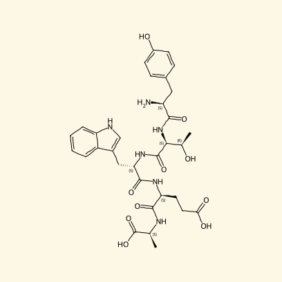 C[C@H](NC(=O)[C@H](CCC(=O)O)NC(=O)[C@H](Cc1c[nH]c2ccccc12)NC(=O)[C@@H](NC(=O)[C@@H](N)Cc1ccc(O)cc1)[C@@H](C)O)C(=O)O